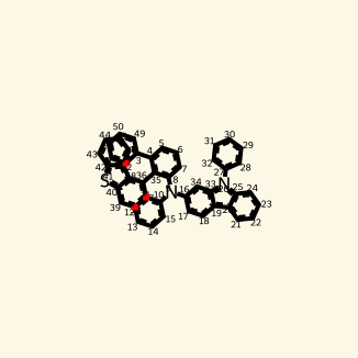 c1ccc(-c2cccc(N(c3ccccc3)c3ccc4c5ccccc5n(-c5ccccc5)c4c3)c2-c2cccc3sc4ccccc4c23)cc1